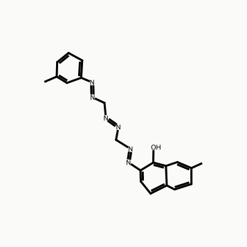 Cc1cccc(N=NCN=NCN=Nc2ccc3ccc(C)cc3c2O)c1